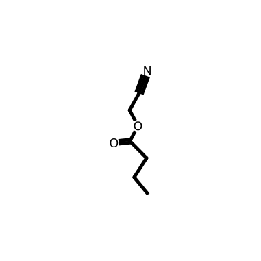 CCCC(=O)OCC#N